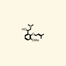 COc1cccc(C(O)CN(C)C)c1OCC=C(C)C